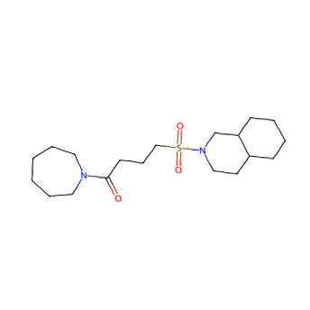 O=C(CCCS(=O)(=O)N1CCC2CCCCC2C1)N1CCCCCC1